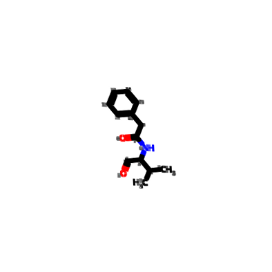 CC(C)C([C]=O)NC(=O)Cc1ccccc1